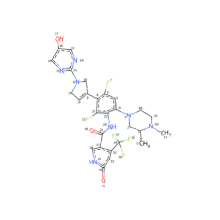 CC1CN(c2cc(F)c(C3=CCN(c4ncc(O)cn4)C3)c(F)c2NC(=O)c2c[nH]c(=O)cc2C(F)(F)F)CCN1C